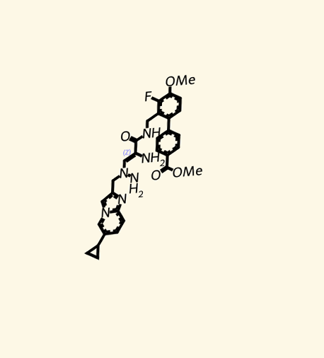 COC(=O)c1ccc(-c2ccc(OC)c(F)c2CNC(=O)/C(N)=C/N(N)Cc2cn3cc(C4CC4)ccc3n2)cc1